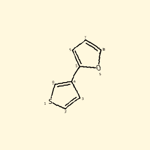 [c]1sccc1-c1[c]cco1